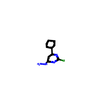 NNc1cc(-c2ccccc2)nc(Cl)n1